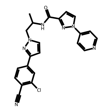 CC(Cn1ccc(-c2ccc(C#N)c(Cl)c2)n1)NC(=O)c1ccn(-c2ccncc2)n1